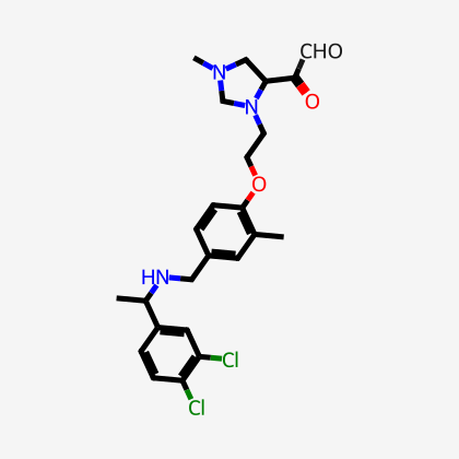 Cc1cc(CNC(C)c2ccc(Cl)c(Cl)c2)ccc1OCCN1CN(C)CC1C(=O)C=O